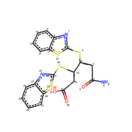 NC(=O)CC(Sc1nc2ccccc2s1)C(CC(=O)O)Sc1nc2ccccc2s1